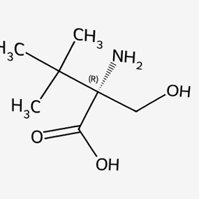 CC(C)(C)[C@@](N)(CO)C(=O)O